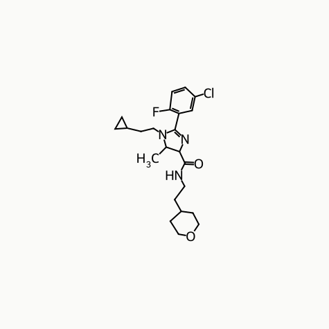 CC1C(C(=O)NCCC2CCOCC2)N=C(c2cc(Cl)ccc2F)N1CCC1CC1